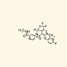 CN[S+]([O-])c1cc(NC(=O)c2c(Oc3ccc(F)nc3C)ncc(C(F)(F)F)c2C)ccn1